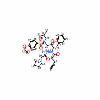 C#CCCC(=O)N(NC(=O)CN1CCCC1)[C@@H](Cc1ccccc1)[C@H](O)CN(CC(C)C)S(=O)(=O)c1ccc2c(c1)OCO2